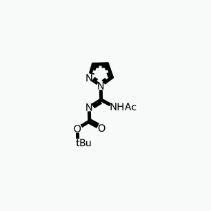 CC(=O)N/C(=N\C(=O)OC(C)(C)C)n1cccn1